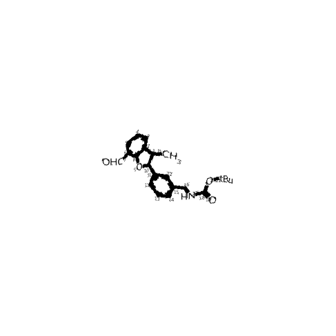 CC1c2cccc(C=O)c2OC1c1cccc(CNC(=O)OC(C)(C)C)c1